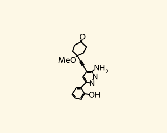 COC1(C#Cc2cc(-c3ccccc3O)nnc2N)CCC(=O)CC1